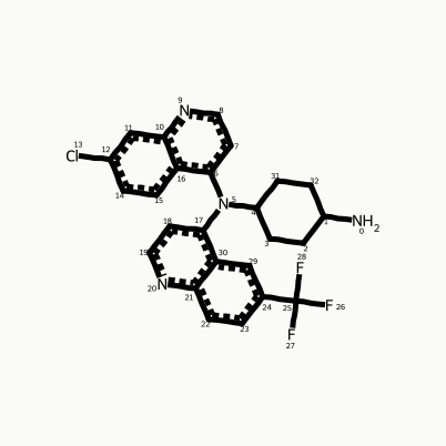 NC1CCC(N(c2ccnc3cc(Cl)ccc23)c2ccnc3ccc(C(F)(F)F)cc23)CC1